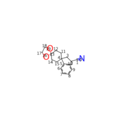 N#CCCC1(c2ccccc2)CCC2(CC1)OCCO2